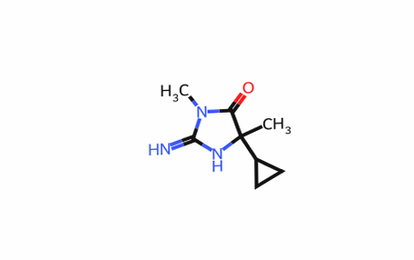 CN1C(=N)NC(C)(C2CC2)C1=O